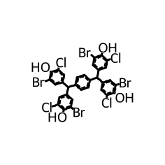 Oc1c(Cl)cc(C(c2ccc(C(c3cc(Cl)c(O)c(Br)c3)c3cc(Cl)c(O)c(Br)c3)cc2)c2cc(Cl)c(O)c(Br)c2)cc1Br